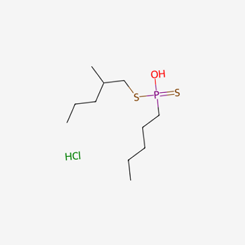 CCCCCP(O)(=S)SCC(C)CCC.Cl